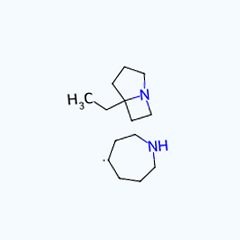 CCC12CCCN1CC2.[CH]1CCCNCC1